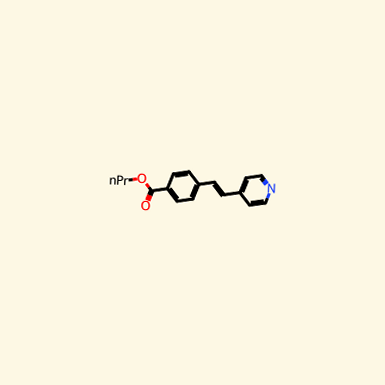 CCCOC(=O)c1ccc(/C=C/c2ccncc2)cc1